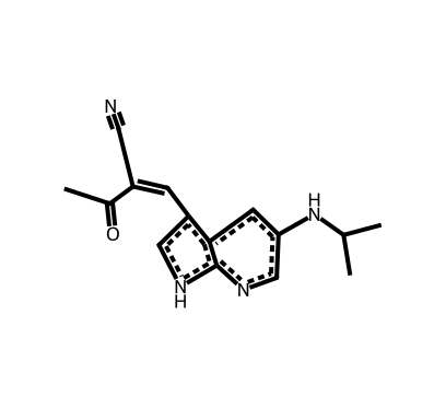 CC(=O)C(C#N)=Cc1c[nH]c2ncc(NC(C)C)cc12